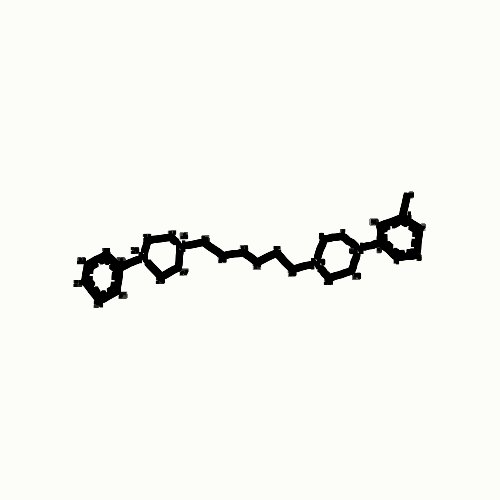 Cc1cccc(N2CCN(CCCCCCN3CCN(c4ccccc4)CC3)CC2)c1